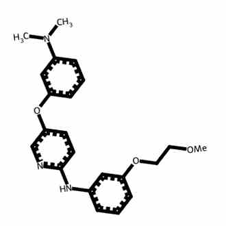 COCCOc1cccc(Nc2ccc(Oc3cccc(N(C)C)c3)cn2)c1